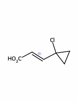 O=C(O)/C=C/C1(Cl)CC1